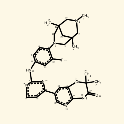 CN1CC2(C)CN(c3ccc(Nc4nccc(-c5cnc6c(c5)OC(C)(C)C(=O)N6)n4)cc3F)CC(C)(C1)C2